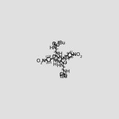 CC(C)(C)OC(=O)NCCNC(=O)c1nc(NCc2ccc([N+](=O)[O-])cc2)c(C(=O)NCCNC(=O)OC(C)(C)C)nc1NCc1ccc([N+](=O)[O-])cc1